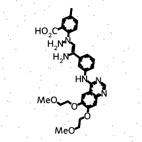 COCCOc1cc2ncnc(Nc3cccc(/C(N)=C/N(N)c4ccc(C)cc4C(=O)O)c3)c2cc1OCCOC